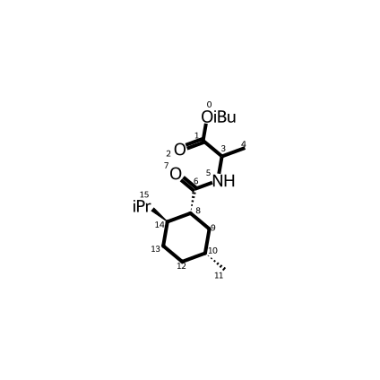 CC(C)COC(=O)C(C)NC(=O)[C@@H]1C[C@H](C)CC[C@H]1C(C)C